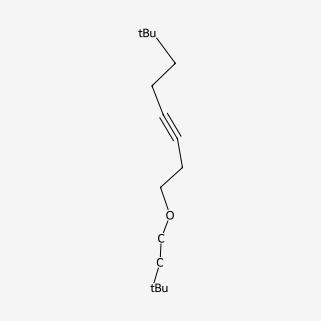 CC(C)(C)CCC#CCCOCCC(C)(C)C